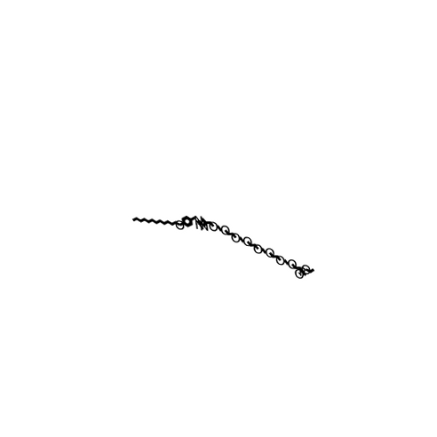 CCCCCCCCCCCCOc1ccc(Cn2cc(COCCOCCOCCOCCOCCOCCOCCOCCP(C)(=O)OCC)nn2)cc1